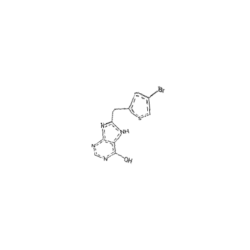 Oc1ncnc2nc(Cc3cc(Br)cs3)[nH]c12